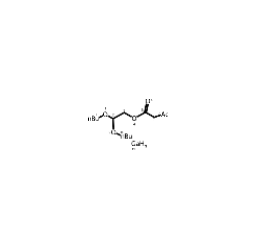 CCCCOC(COC(=O)CC(C)=O)OCCCC.[GaH3]